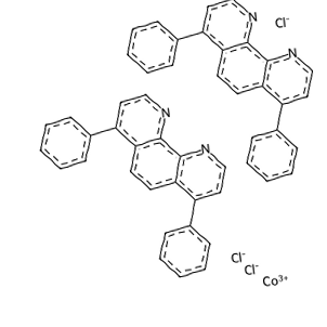 [Cl-].[Cl-].[Cl-].[Co+3].c1ccc(-c2ccnc3c2ccc2c(-c4ccccc4)ccnc23)cc1.c1ccc(-c2ccnc3c2ccc2c(-c4ccccc4)ccnc23)cc1